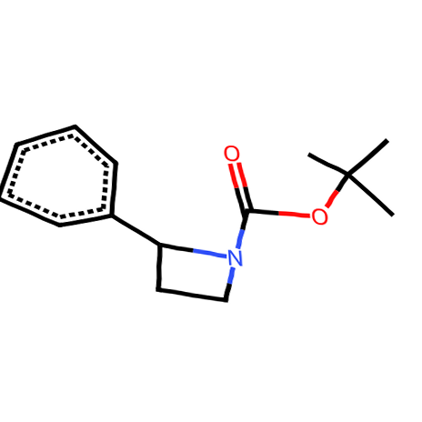 CC(C)(C)OC(=O)N1CCC1c1ccccc1